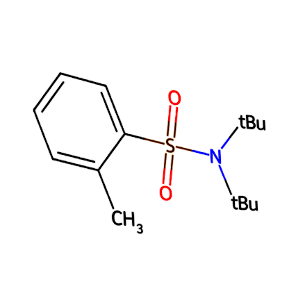 Cc1ccccc1S(=O)(=O)N(C(C)(C)C)C(C)(C)C